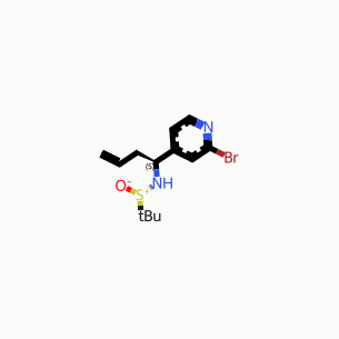 C=CC[C@H](N[S+]([O-])C(C)(C)C)c1ccnc(Br)c1